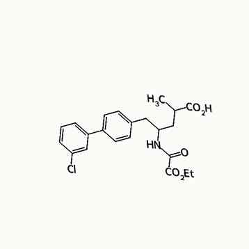 CCOC(=O)C(=O)NC(Cc1ccc(-c2cccc(Cl)c2)cc1)CC(C)C(=O)O